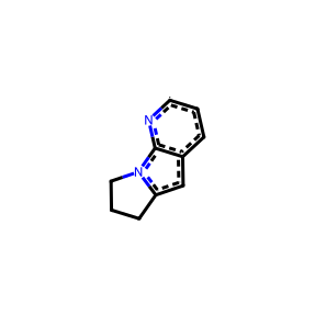 [c]1ccc2cc3n(c2n1)CCC3